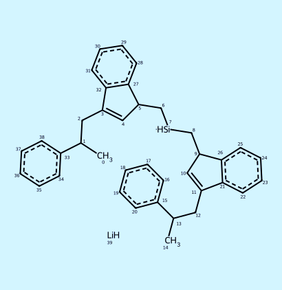 CC(CC1=CC(C[SiH]CC2C=C(CC(C)c3ccccc3)c3ccccc32)c2ccccc21)c1ccccc1.[LiH]